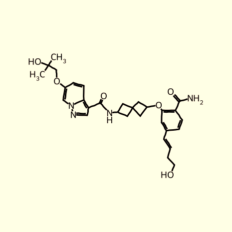 CC(C)(O)COc1ccc2c(C(=O)NC3CC4(C3)CC(Oc3cc(/C=C/CCO)ccc3C(N)=O)C4)cnn2c1